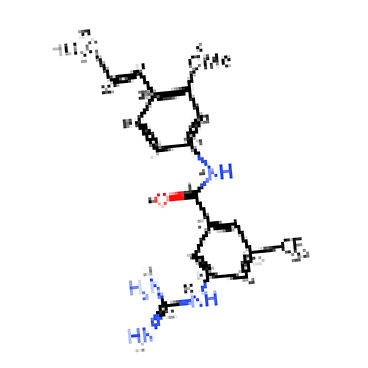 COc1cc(NC(=O)c2cc(NC(=N)N)cc(C(F)(F)F)c2)ccc1C=CC(=O)O